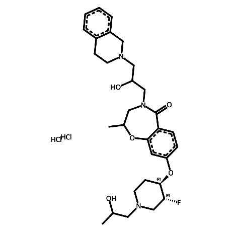 CC(O)CN1CC[C@@H](Oc2ccc3c(c2)OC(C)CN(CC(O)CN2CCc4ccccc4C2)C3=O)[C@H](F)C1.Cl.Cl